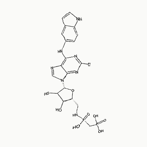 O=P(O)(O)CP(=O)(O)NC[C@H]1O[C@@H](n2cnc3c(Nc4ccc5[nH]ccc5c4)nc(Cl)nc32)C(O)C1O